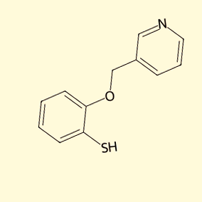 Sc1ccccc1OCc1cccnc1